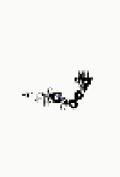 C[C@@]1(C(=O)NCC(=O)O)CC/C=C/[C@H](OC(=O)N2CCCC(c3ccc(-n4cc5cccc(C(N)=O)c5n4)cc3)C2)CC1